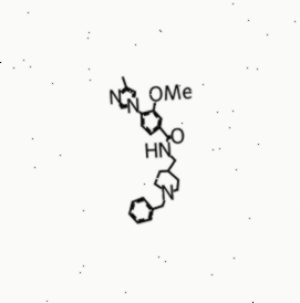 COc1cc(C(=O)NCC2CCN(Cc3ccccc3)CC2)ccc1-n1cnc(C)c1